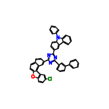 Clc1ccc2oc3ccc4ccc(-c5nc(-c6cccc(-c7ccccc7)c6)nc(-c6ccc7c(c6)c6ccccc6n7-c6ccccc6)n5)cc4c3c2c1